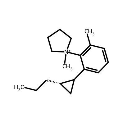 CCC[C@H]1CC1c1cccc(C)c1[N+]1(C)CCCC1